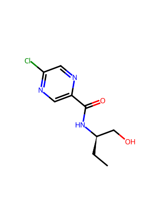 CC[C@H](CO)NC(=O)c1cnc(Cl)cn1